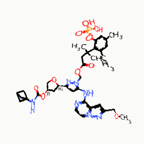 COCc1cc2c(Nc3cc([C@H]4C[C@@H](OC(=O)NC56CC(C5)C6)CO4)nn3COC(=O)CC(C)(C)c3c(C)cc(C)cc3OP(=O)(O)O)nccn2n1